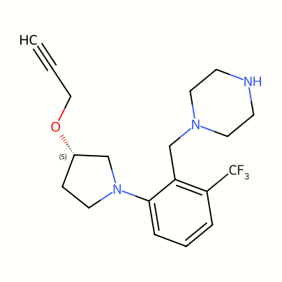 C#CCO[C@H]1CCN(c2cccc(C(F)(F)F)c2CN2CCNCC2)C1